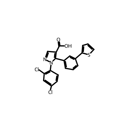 O=C(O)c1cnn(-c2ccc(Cl)cc2Cl)c1-c1cccc(-c2cccs2)c1